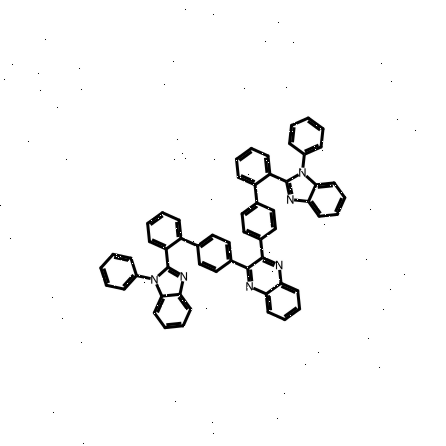 c1ccc(-n2c(-c3ccccc3-c3ccc(-c4nc5ccccc5nc4-c4ccc(-c5ccccc5-c5nc6ccccc6n5-c5ccccc5)cc4)cc3)nc3ccccc32)cc1